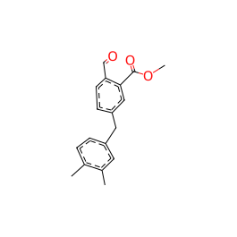 COC(=O)c1cc(Cc2ccc(C)c(C)c2)ccc1C=O